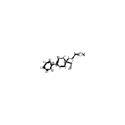 N#CCCCC1(CF)C=CC(c2ccccc2)=CC1